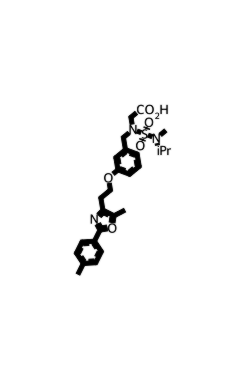 Cc1ccc(-c2nc(CCOc3cccc(CN(CC(=O)O)S(=O)(=O)N(C)C(C)C)c3)c(C)o2)cc1